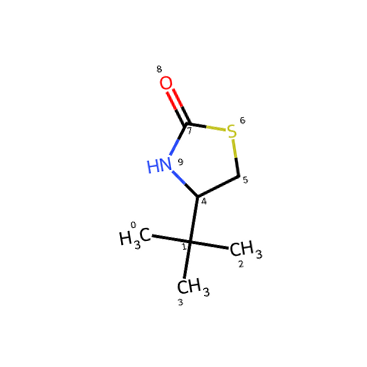 CC(C)(C)C1CSC(=O)N1